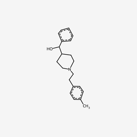 Cc1ccc(CCN2CCC(C(O)c3ccccc3)CC2)cc1